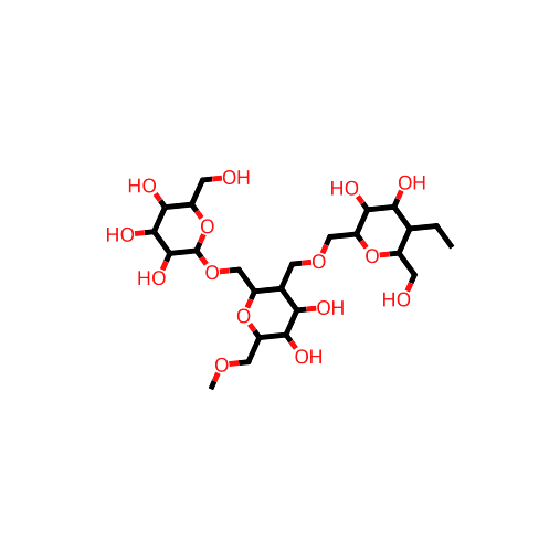 CCC1C(CO)OC(COCC2C(COC3OC(CO)C(O)C(O)C3O)OC(COC)C(O)C2O)C(O)C1O